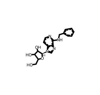 OCC1O[C@H](n2cnc3c(NCc4ccccc4)nccc32)C(O)C1O